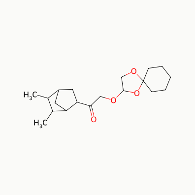 CC1C2CC(C(=O)COC3COC4(CCCCC4)O3)C(C2)C1C